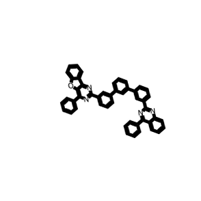 c1ccc(-c2nc(-c3cccc(-c4cccc(-c5cccc(-c6nc(-c7ccccc7)c7oc8ccccc8c7n6)c5)c4)c3)nc3ccccc23)cc1